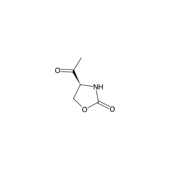 CC(=O)[C@@H]1COC(=O)N1